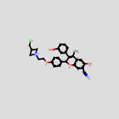 CC1=C(c2cccc(O)c2)C(c2ccc(OCCN3CC(CF)C3)cc2)Oc2cc(C#N)c(O)cc21